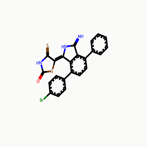 N=C1N/C(=C2/SC(=O)NC2=S)c2c(-c3ccc(Br)cc3)ccc(-c3ccccc3)c21